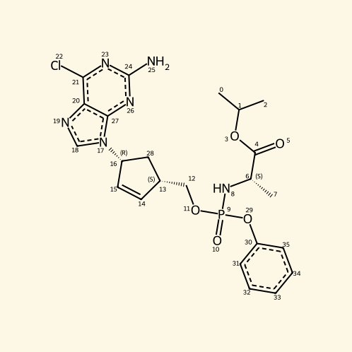 CC(C)OC(=O)[C@H](C)NP(=O)(OC[C@@H]1C=C[C@H](n2cnc3c(Cl)nc(N)nc32)C1)Oc1ccccc1